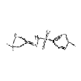 Cc1ccc(S(=O)(=O)N/N=C2\COC(C)(C)C2)cc1